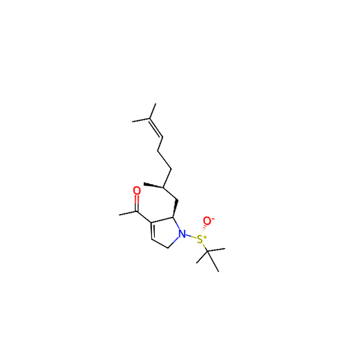 CC(=O)C1=CCN([S@+]([O-])C(C)(C)C)[C@@H]1C[C@@H](C)CCC=C(C)C